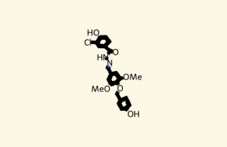 COc1cc(/C=N/NC(=O)c2ccc(O)c(Cl)c2)cc(OC)c1OCc1ccc(O)cc1